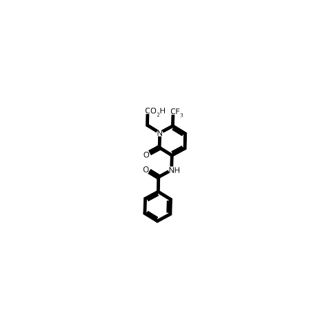 O=C(O)Cn1c(C(F)(F)F)ccc(NC(=O)c2ccccc2)c1=O